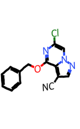 N#Cc1cnn2cc(Cl)nc(OCc3ccccc3)c12